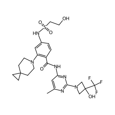 Cc1cc(NC(=O)c2ccc(NS(=O)(=O)CCO)cc2N2CCC3(CC2)CC3)nc(N2CC(O)(C(F)(F)F)C2)n1